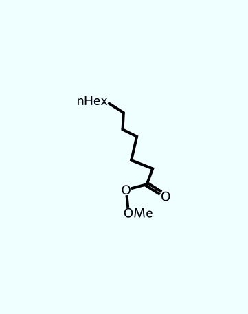 CCCCCCCCCCCC(=O)OOC